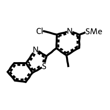 CSc1cc(C)c(-c2nc3ccccc3s2)c(Cl)n1